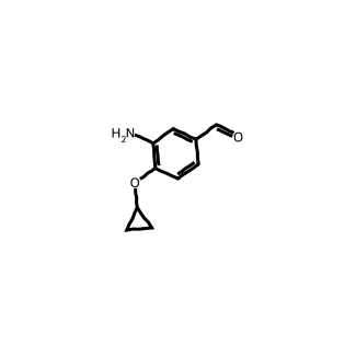 Nc1cc(C=O)ccc1OC1CC1